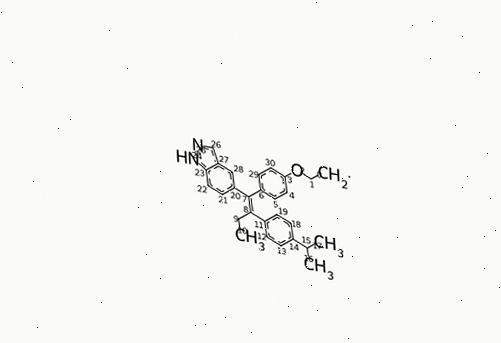 [CH2]COc1ccc(/C(=C(/CC)c2ccc(C(C)C)cc2)c2ccc3[nH]ncc3c2)cc1